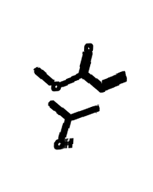 C=CC(=O)OC.CC(C)O